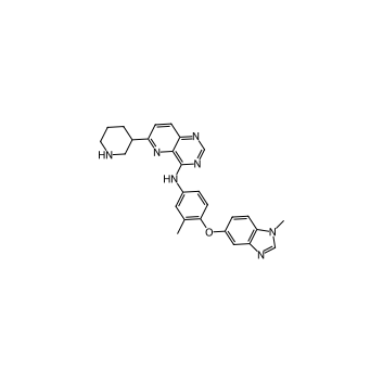 Cc1cc(Nc2ncnc3ccc(C4CCCNC4)nc23)ccc1Oc1ccc2c(c1)ncn2C